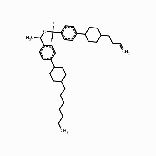 C=CCCC1CCC(c2ccc(C(F)(F)OC(C)c3ccc(C4CCC(CCCCCCC)CC4)cc3)cc2)CC1